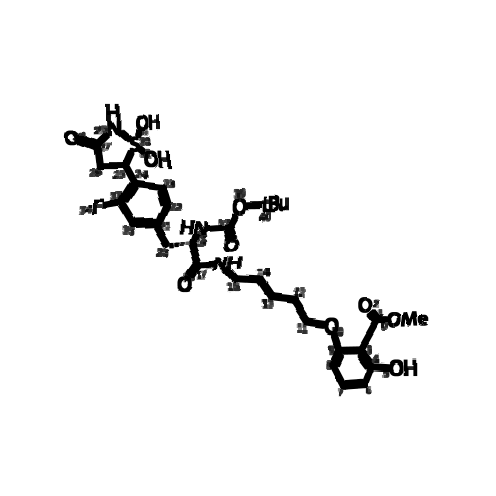 COC(=O)c1c(O)cccc1OCCCCCNC(=O)[C@H](Cc1ccc(C2CC(=O)NS2(O)O)c(F)c1)NC(=O)OC(C)(C)C